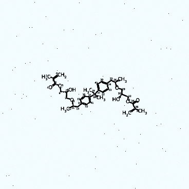 C=C(C)C(=O)OCC(O)COC(C)Cc1ccc(C(C)(C)c2ccc(CC(C)OCC(O)COC(=O)C(=C)C)cc2)cc1